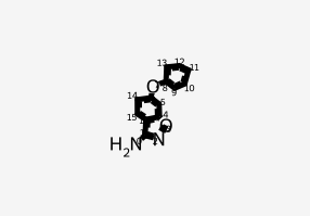 Nc1noc2cc(Oc3ccccc3)ccc12